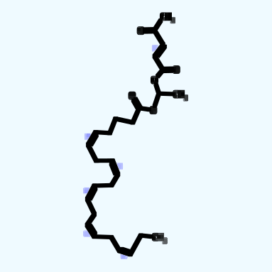 CC/C=C\C/C=C\C/C=C\C/C=C\C/C=C\CCCC(=O)OC(C)OC(=O)/C=C/C(C)=O